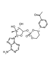 CC(=O)c1cccc([C@@H]2CCO[P@](=O)(OC3O[C@@H](n4cnc5c(N)ncnc54)[C@](C)(O)[C@@H]3O)O2)c1